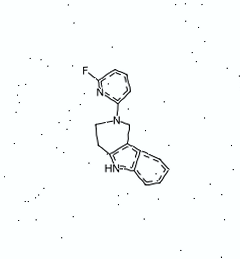 Fc1cccc(N2CCc3[nH]c4ccccc4c3C2)n1